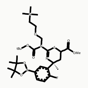 COC(=O)C1C[C@@](C)(c2cc(B3OC(C)(C)C(C)(C)O3)ccc2F)N=C(N(COCC[Si](C)(C)C)C(=O)OC(C)(C)C)S1